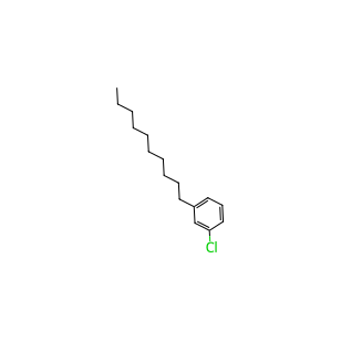 CCCCCCCCCCc1cccc(Cl)c1